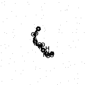 N=C(NC(=O)c1ccco1)c1ccc(N2CC(CN3CCN(CCC(=O)OCc4ccccc4)CC3)OC2=O)cc1